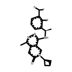 Cc1nnc(N[C@H](C)c2cccc(C(F)F)c2F)c2cn(C34CC(C3)C4)c(=O)cc12